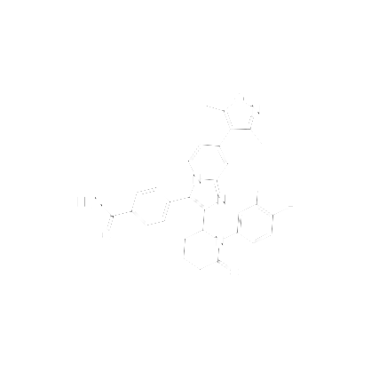 Cc1noc(C)c1-c1ccn2c(-c3ccc(C(N)=O)cc3)c(C3CCCC(=O)N3c3ccc(F)c(F)c3)nc2c1